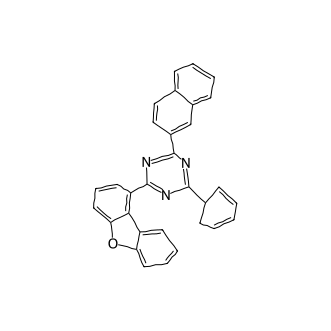 C1=CCC(c2nc(-c3ccc4ccccc4c3)nc(-c3cccc4oc5ccccc5c34)n2)C=C1